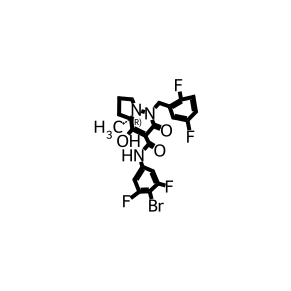 C[C@]12CCCN1N(Cc1cc(F)ccc1F)C(=O)C(C(=O)Nc1cc(F)c(Br)c(F)c1)=C2O